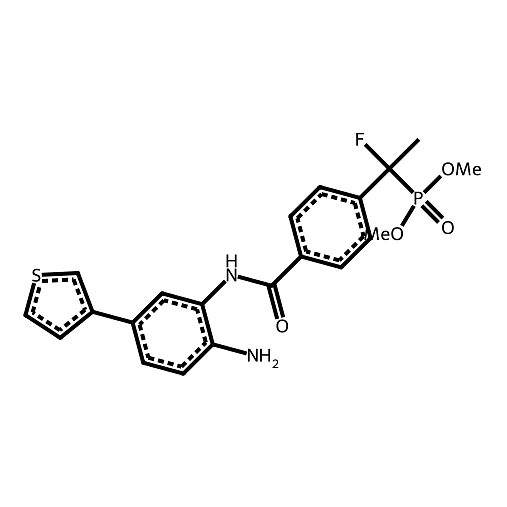 COP(=O)(OC)C(C)(F)c1ccc(C(=O)Nc2cc(-c3ccsc3)ccc2N)cc1